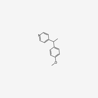 COc1ccc(C(C)c2ccncc2)cc1